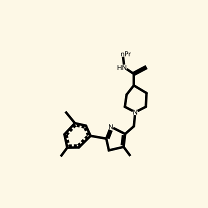 C=C(NCCC)C1CCN(CC2=C(C)CC(c3cc(C)cc(C)c3)=N2)CC1